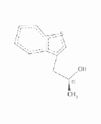 C[C@H](O)Cc1csc2ccccc12